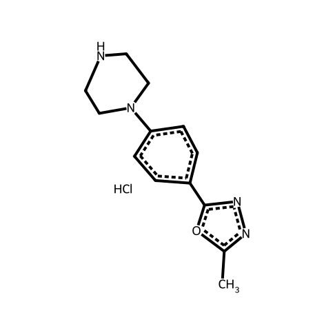 Cc1nnc(-c2ccc(N3CCNCC3)cc2)o1.Cl